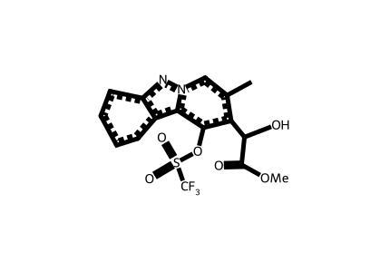 COC(=O)C(O)c1c(C)cn2nc3ccccc3c2c1OS(=O)(=O)C(F)(F)F